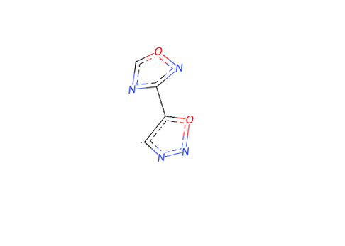 [c]1nnoc1-c1ncon1